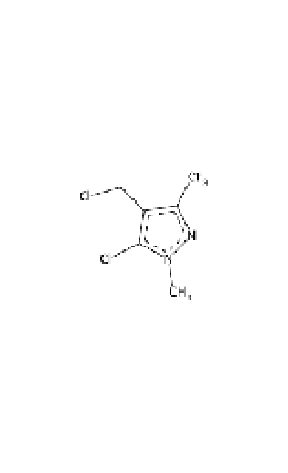 Cn1nc(C(F)(F)F)c(CCl)c1Cl